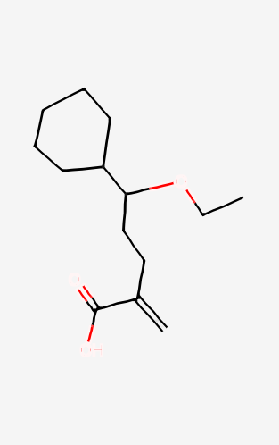 C=C(CCC(OCC)C1CCCCC1)C(=O)O